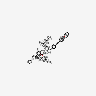 COC(=O)N[C@H](C(=O)N[C@@H](Cc1ccc(C#Cc2ccc(N3CC4CCC(C3)N4C3COC3)nc2)cc1)[C@@H](O)CN(Cc1c(F)cc(C(=N)/C=C\N[C@H]2CCOC2)cc1F)NC(=O)[C@@H](NC(=O)OC)C(C)(C)C(F)(F)F)C(C)(C)C(F)(F)F